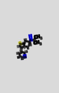 CC(C)Nc1ccc2c(-c3cccnc3)csc2c1